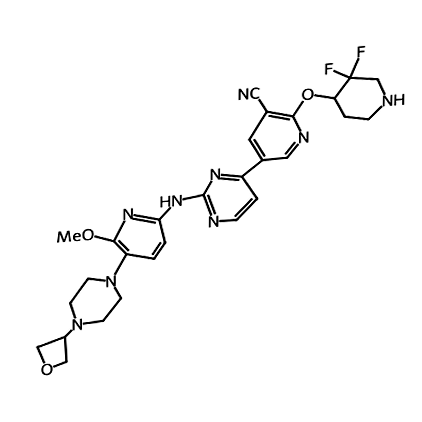 COc1nc(Nc2nccc(-c3cnc(OC4CCNCC4(F)F)c(C#N)c3)n2)ccc1N1CCN(C2COC2)CC1